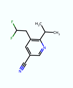 CC(C)c1ncc(C#N)cc1CC(F)F